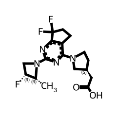 C[C@@H]1[C@H](F)CN1c1nc(N2CC[C@@H](CC(=O)O)C2)c2c(n1)C(F)(F)CC2